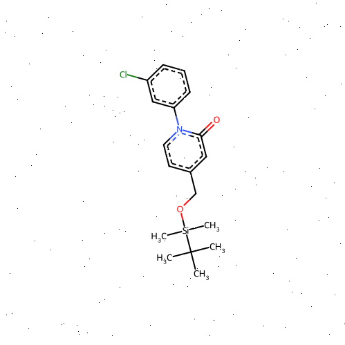 CC(C)(C)[Si](C)(C)OCc1ccn(-c2cccc(Cl)c2)c(=O)c1